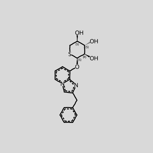 O[C@@H]1[C@@H](O)[C@@H](Oc2cccn3cc(Cc4ccccc4)nc23)SC[C@H]1O